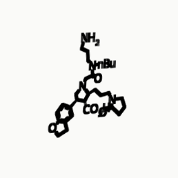 CCCCN(CCCN)C(=O)CN1C[C@H](c2ccc3c(c2)CCO3)[C@@H](C(=O)O)[C@@H]1CCCN1CCCC1=O